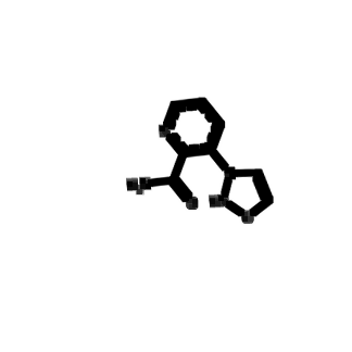 NC(=O)c1ncccc1N1C=CON1